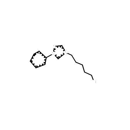 CCCCCC[n+]1cnn(-c2ccccc2)c1